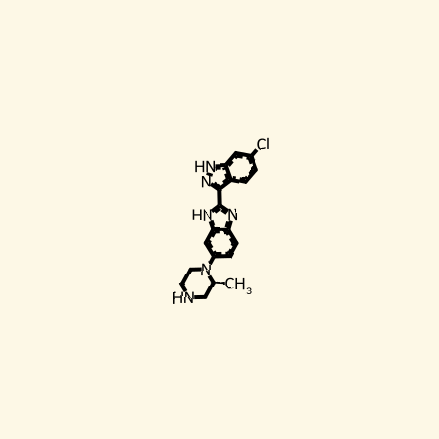 C[C@H]1CNCCN1c1ccc2nc(-c3n[nH]c4cc(Cl)ccc34)[nH]c2c1